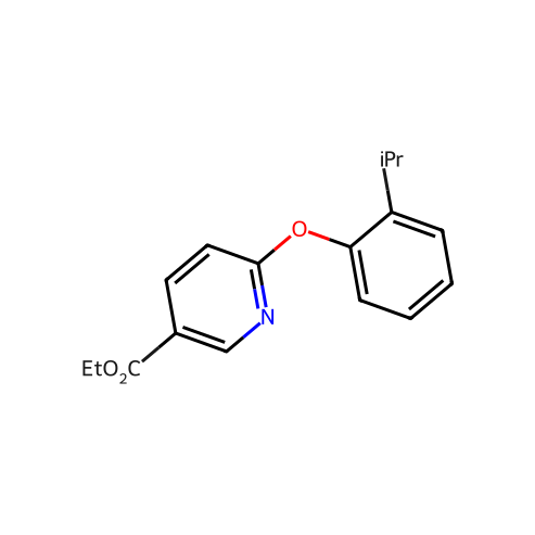 CCOC(=O)c1ccc(Oc2ccccc2C(C)C)nc1